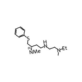 CCN(C)CCNCC[C@H](CSc1ccccc1)NC